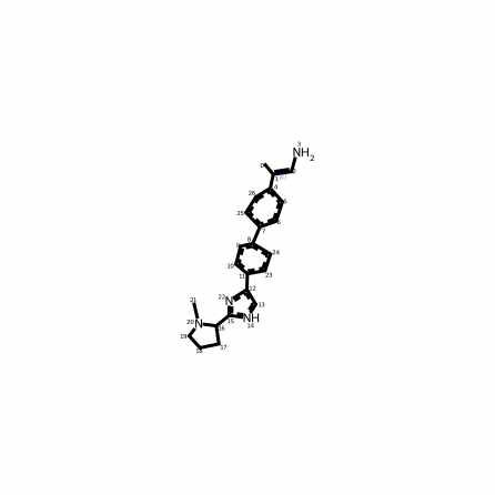 C/C(=C\N)c1ccc(-c2ccc(-c3c[nH]c(C4CCCN4C)n3)cc2)cc1